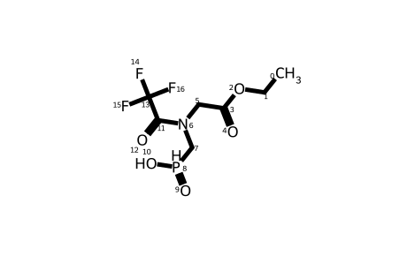 CCOC(=O)CN(C[PH](=O)O)C(=O)C(F)(F)F